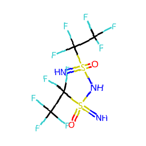 N=S(=O)(NS(=N)(=O)C(F)(F)C(F)(F)F)C(F)(F)C(F)(F)F